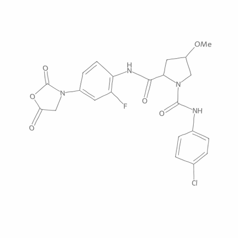 COC1CC(C(=O)Nc2ccc(N3CC(=O)OC3=O)cc2F)N(C(=O)Nc2ccc(Cl)cc2)C1